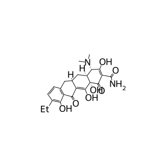 CCc1ccc2c(c1O)C(=O)C1=C(O)[C@]3(O)C(=O)C(C(N)=O)=C(O)[C@@H](N(C)C)[C@@H]3C[C@@H]1C2